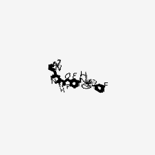 Cn1ccc(-c2cnc3[nH]cc(C(=O)c4c(F)ccc(NS(=O)(=O)c5cccc(F)c5)c4F)c3c2)n1